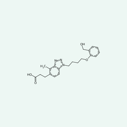 Cc1c(CCC(=O)O)ccc2c1nnn2CCCCOc1ccccc1CO